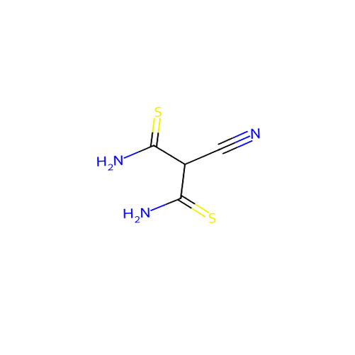 N#CC(C(N)=S)C(N)=S